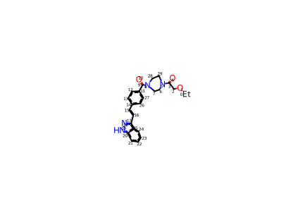 CCOCC(=O)N1CCN(C(=O)c2ccc(C=Cc3n[nH]c4ccccc34)cc2)CC1